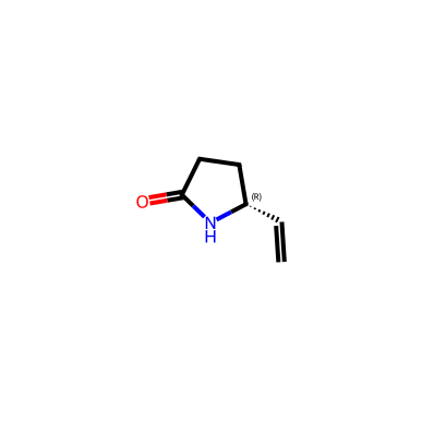 C=C[C@H]1CCC(=O)N1